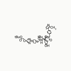 Cc1ncsc1-c1ccc(CNC(=O)[C@@H]2C[C@@H](O)CN2C(=O)[C@@H](NC(=O)CN2CCN(c3ncc(OCC(=O)OC(C)(C)C)cn3)CC2)C(C)(C)C)cc1